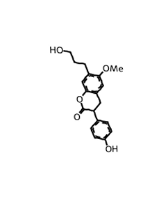 COc1cc2c(cc1CCCO)OC(=O)C(c1ccc(O)cc1)C2